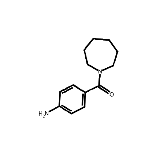 Nc1ccc(C(=O)N2CCCCCC2)cc1